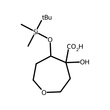 CC(C)(C)[Si](C)(C)OC1CCOCCC1(O)C(=O)O